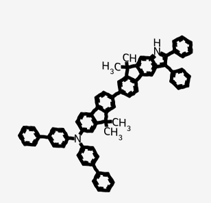 CC1(C)c2cc(-c3ccc4c(c3)C(C)(C)c3cc5[nH]c(-c6ccccc6)c(-c6ccccc6)c5cc3-4)ccc2-c2ccc(N(c3ccc(-c4ccccc4)cc3)c3ccc(-c4ccccc4)cc3)cc21